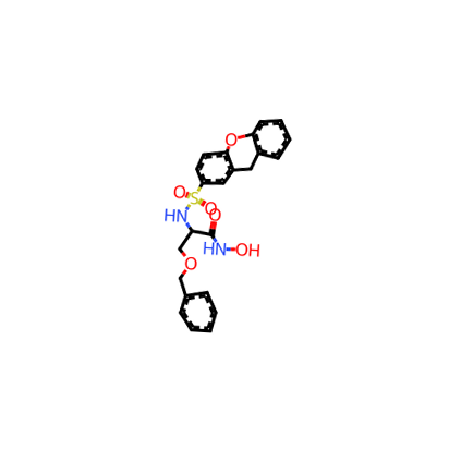 O=C(NO)C(COCc1ccccc1)NS(=O)(=O)c1ccc2c(c1)Cc1ccccc1O2